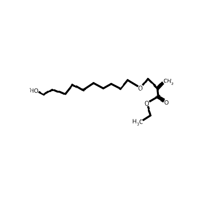 C=C(COCCCCCCCCCCO)C(=O)OCC